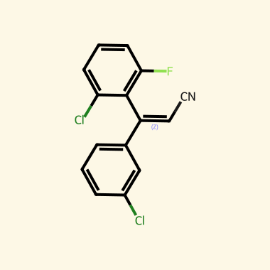 N#C/C=C(/c1cccc(Cl)c1)c1c(F)cccc1Cl